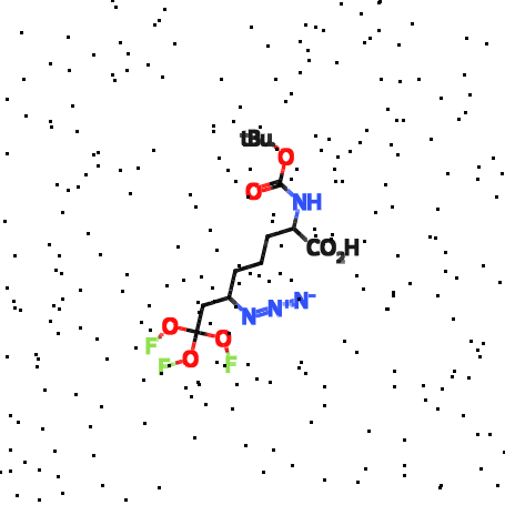 CC(C)(C)OC(=O)NC(CCCC(CC(OF)(OF)OF)N=[N+]=[N-])C(=O)O